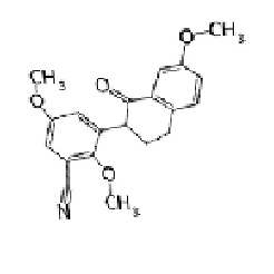 COc1ccc2c(c1)C(=O)C(c1cc(OC)cc(C#N)c1OC)CC2